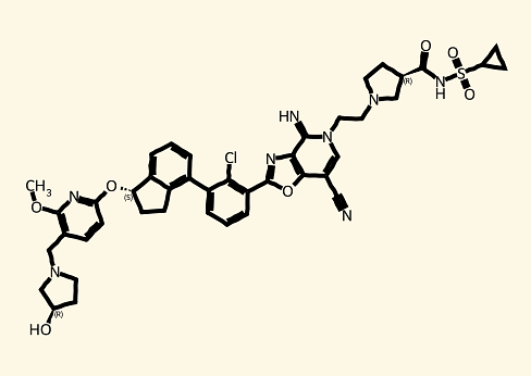 COc1nc(O[C@H]2CCc3c(-c4cccc(-c5nc6c(=N)n(CCN7CC[C@@H](C(=O)NS(=O)(=O)C8CC8)C7)cc(C#N)c6o5)c4Cl)cccc32)ccc1CN1CC[C@@H](O)C1